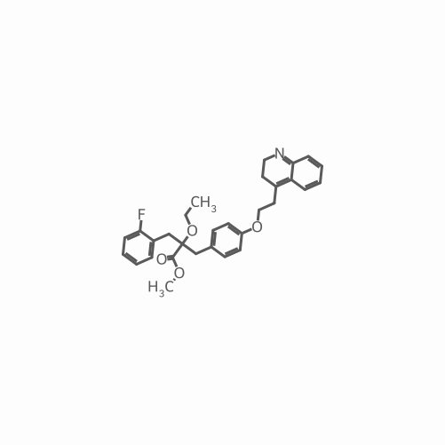 CCOC(Cc1ccc(OCCC2=c3ccccc3=NCC2)cc1)(Cc1ccccc1F)C(=O)OC